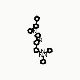 c1ccc(-c2ccc3c(c2)c2ccccc2n3-c2ccc3oc4cc(-c5cccc(-c6nc(-c7ccccc7)nc(-c7ccccc7)n6)c5)ccc4c3c2)cc1